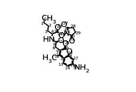 CCCCC(NC(=O)Cc1c(C)c2ccc(N)cc2oc1=O)C(=O)ON1C(=O)CCC1=O